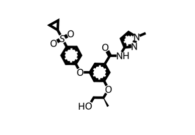 C[C@@H](CO)Oc1cc(Oc2ccc(S(=O)(=O)C3CC3)cc2)cc(C(=O)Nc2ccn(C)n2)c1